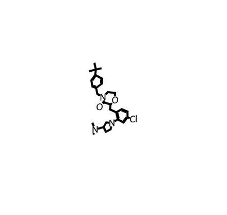 CN(C)C1CCN(c2cc(Cl)ccc2CC2OCCN(Cc3ccc(C(C)(C)C)cc3)C2=O)C1